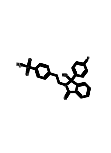 NS(=O)(=O)c1ccc(CCN2C(=O)c3ccccc3C2(O)c2ccc(F)cc2)cc1